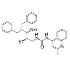 CC[C@H](CNC(=O)Nc1cc(C)nc2ccccc12)C(=N)C(Cc1ccccc1)Cc1ccccc1